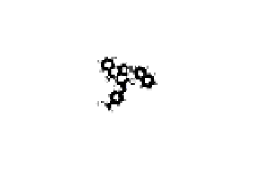 O=C(O)c1ccc(/C=C(/COc2cccc3ccccc23)CN(C(=O)C2CCCCC2)C2CCNC2)cc1